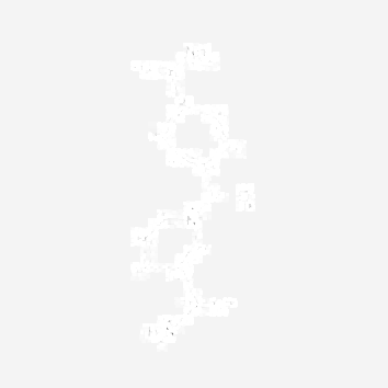 NC(=O)c1ccc(C[n+]2cccc(C(N)=O)c2)cc1.[Cl-]